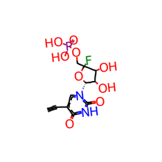 C#Cc1cn([C@@H]2O[C@](F)(COP(=O)(O)O)[C@@H](O)[C@H]2O)c(=O)[nH]c1=O